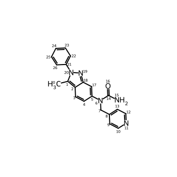 Cc1c2ccc(N(Cc3ccncc3)C(N)=O)cc2nn1-c1ccccc1